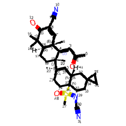 CC(=O)/C=C1/[C@@]2(C)C=C(C#N)C(=O)C(C)(C)[C@@H]2CC[C@@]1(C)[C@]1(C)CC[C@@]2(S(C)(=O)=NC#N)CCC3(CC3)C[C@H]2C1